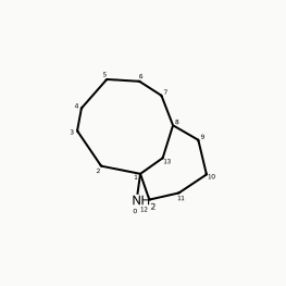 NC12CCCCCCC(CCCC1)C2